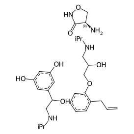 C=CCc1ccccc1OCC(O)CNC(C)C.CC(C)NCC(O)c1cc(O)cc(O)c1.N[C@@H]1CONC1=O